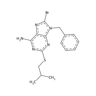 CC(C)CSc1nc(N)c2nc(Br)n(Cc3ccccc3)c2n1